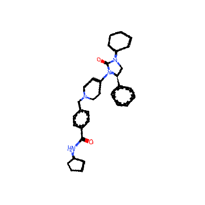 O=C(NC1CCCC1)c1ccc(CN2CCC(N3C(=O)N(C4CCCCC4)C[C@H]3c3ccccc3)CC2)cc1